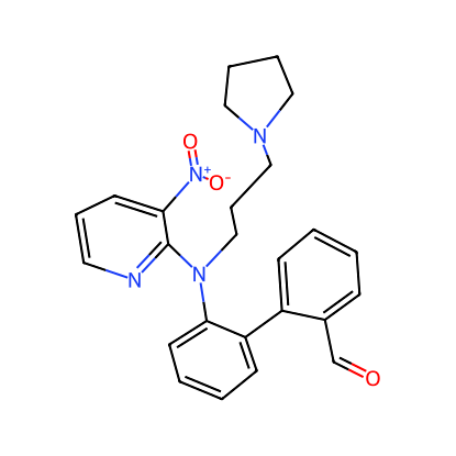 O=Cc1ccccc1-c1ccccc1N(CCCN1CCCC1)c1ncccc1[N+](=O)[O-]